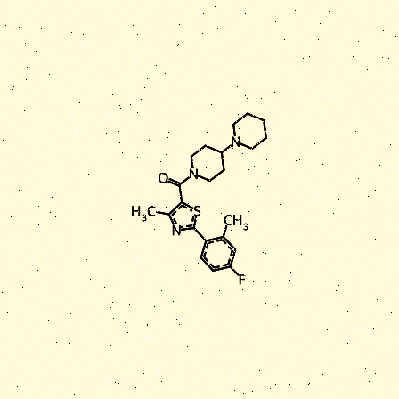 Cc1cc(F)ccc1-c1nc(C)c(C(=O)N2CCC(N3CCCCC3)CC2)s1